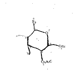 CCC1OC(OC(C)=O)C(OC(C)=O)[C@@H](C)[C@@H]1C